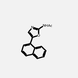 CC(=O)Nc1ncc(-c2cccc3ccccc23)o1